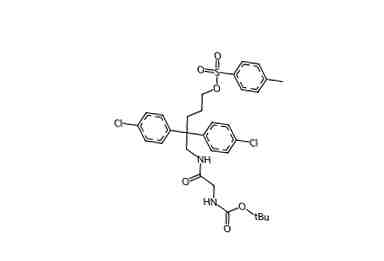 Cc1ccc(S(=O)(=O)OCCCC(CNC(=O)CNC(=O)OC(C)(C)C)(c2ccc(Cl)cc2)c2ccc(Cl)cc2)cc1